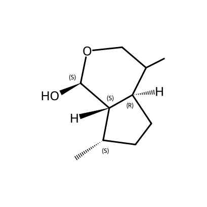 CC1CO[C@H](O)[C@@H]2[C@@H]1CC[C@@H]2C